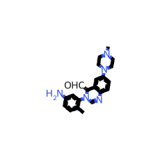 Cc1ccc(N)cc1N1C=Nc2ccc(N3CCN(C)CC3)cc2C1C=O